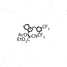 CCOC(=O)/C(C#N)=C(\OC(C)=O)c1cn(Cc2cc(C(F)(F)F)cc(C(F)(F)F)c2)c2ccccc12